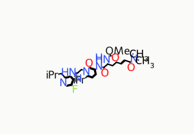 COC(=O)NC(CC/C=C/C(=O)N(C)C)C(=O)Nc1ccc(C(C)C)n(Cc2nc3c(F)cnc(CC(C)C)c3[nH]2)c1=O